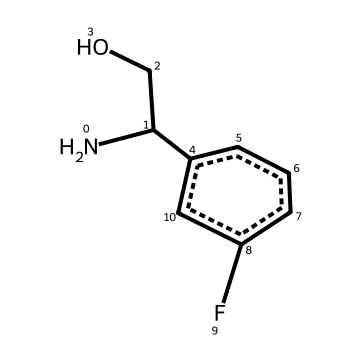 NC(CO)c1cccc(F)c1